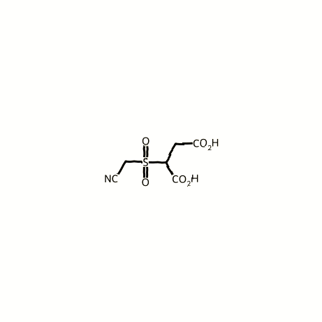 N#CCS(=O)(=O)C(CC(=O)O)C(=O)O